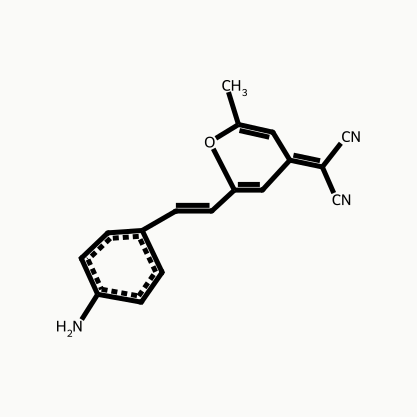 CC1=CC(=C(C#N)C#N)C=C(C=Cc2ccc(N)cc2)O1